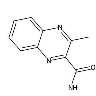 Cc1nc2ccccc2nc1C([NH])=O